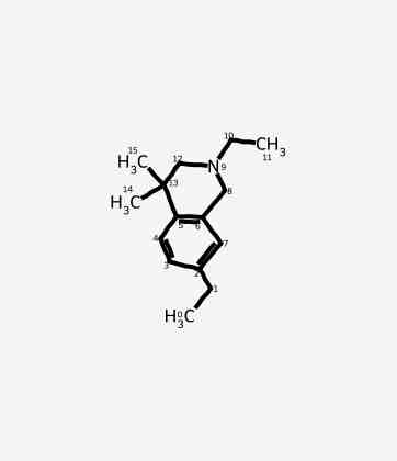 CCc1ccc2c(c1)CN(CC)CC2(C)C